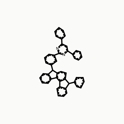 c1ccc(-c2cc(-c3ccccc3)nc(-c3cccc(C4c5ccccc5-c5c4ccc4c5-c5ccccc5C4c4ccccc4)c3)n2)cc1